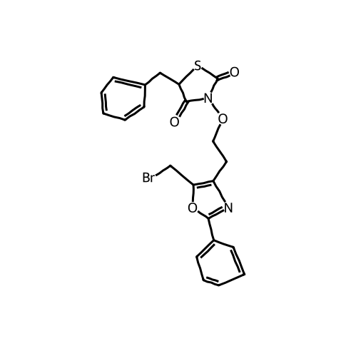 O=C1SC(Cc2ccccc2)C(=O)N1OCCc1nc(-c2ccccc2)oc1CBr